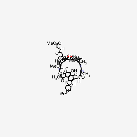 COC(=O)CNC(=O)CC(=O)O[C@H]1[C@H](C)[C@H](O)[C@H](C)[C@@H](O)[C@@H](C)/C=C/C=C(/C)C(=O)NC2=C3NC4(CCN(CC(C)C)CC4)N=C3c3c(c(O)c(C)c4c3C(=O)[C@@](C)(O/C=C/[C@H](OC)[C@H]1C)O4)C2=O